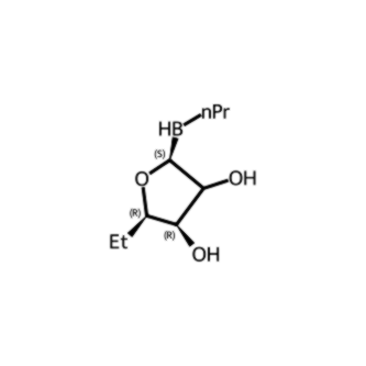 CCCB[C@@H]1O[C@H](CC)[C@H](O)C1O